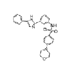 O=S(=O)(Nc1cccc(-c2ncc(-c3ccccc3)[nH]2)c1)c1ccc(N2CCOCC2)cc1